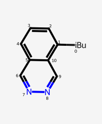 CCC(C)c1cccc2cnncc12